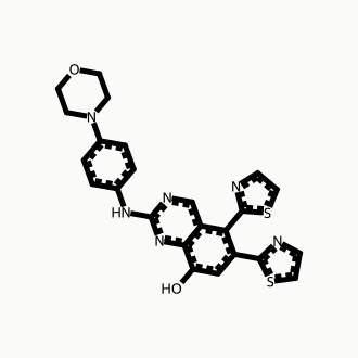 Oc1cc(-c2nccs2)c(-c2nccs2)c2cnc(Nc3ccc(N4CCOCC4)cc3)nc12